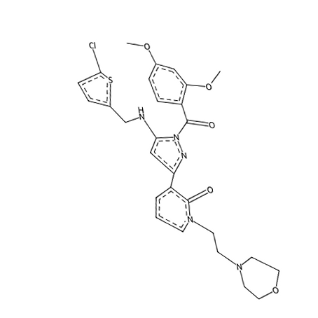 COc1ccc(C(=O)n2nc(-c3cccn(CCN4CCOCC4)c3=O)cc2NCc2ccc(Cl)s2)c(OC)c1